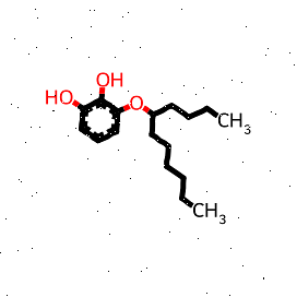 CCCCCCC(CCCC)Oc1cccc(O)c1O